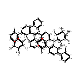 [2H]c1c([2H])c([2H])c(N(c2c(-c3ccccc3C)ccc(-c3ccccc3C)c2F)c2ccc3ccc4c(N(c5c([2H])c([2H])c([2H])c([2H])c5[2H])c5c(-c6ccccc6C)ccc(-c6ccccc6C)c5F)ccc5ccc2c3c54)c([2H])c1[2H]